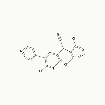 N#CC(c1cc(-c2ccncc2)c(Cl)nn1)c1c(Cl)cccc1Cl